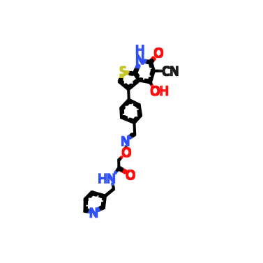 N#Cc1c(O)c2c(-c3ccc(/C=N/OCC(=O)NCc4cccnc4)cc3)csc2[nH]c1=O